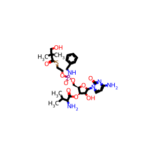 CC(C)C(N)C(=O)O[C@@H]1C(O)C(n2ccc(N)nc2=O)O[C@@H]1COP(=O)(NCc1ccccc1)OCCSC(=O)C(C)(C)CO